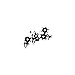 C=CCC1(C(=O)Nc2cccc(C(C)(F)F)c2)C(=O)N(c2ccc(OC(F)F)c(-c3ccccc3)c2)N=C1C